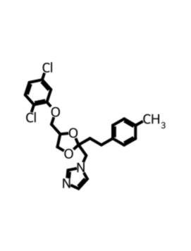 Cc1ccc(CCC2(Cn3ccnc3)OCC(COc3cc(Cl)ccc3Cl)O2)cc1